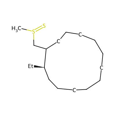 CC[C@@H]1CCCCCCCCCCCC1CS(C)=S